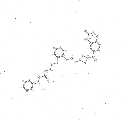 O=C1COc2ccc(C(=O)N3CC(COCc4ccccc4OCCNC(=O)OCc4ccccc4)C3)cc2N1